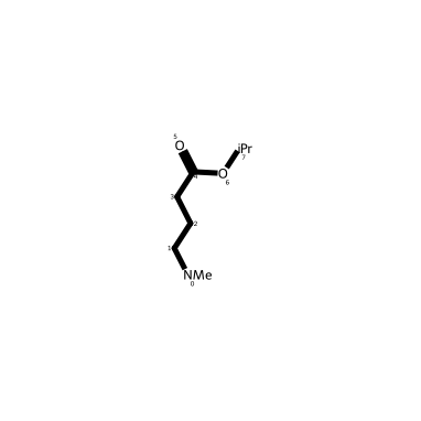 CNCCCC(=O)OC(C)C